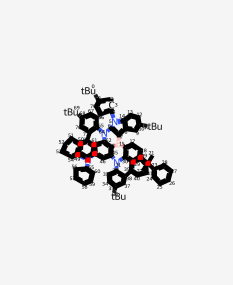 CC(C)(C)c1ccc(-n2c3c(c4cc(C(C)(C)C)ccc42)B2c4ccc(C(C)(C)c5ccccc5)cc4N(c4ccc(C(C)(C)C)cc4-c4ccccc4)c4cc(N(c5ccccc5)c5ccccc5)cc(c42)N3c2ccc(C(C)(C)C)cc2-c2ccccc2)cc1